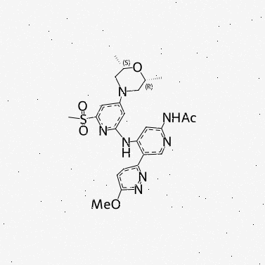 COc1ccc(-c2cnc(NC(C)=O)cc2Nc2cc(N3C[C@@H](C)O[C@@H](C)C3)cc(S(C)(=O)=O)n2)nn1